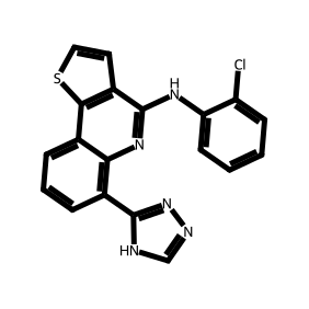 Clc1ccccc1Nc1nc2c(-c3nnc[nH]3)cccc2c2sccc12